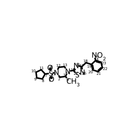 CC1CN(S(=O)(=O)C2CCCC2)CCN1c1nc(Cc2ccccc2[N+](=O)[O-])ns1